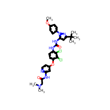 COc1ccc(-n2nc(C(C)(C)C)cc2NC(=O)Nc2ccc(Oc3ccnc(NC(=O)CN(C)C)c3)c(Cl)c2Cl)cc1